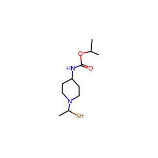 CC(C)OC(=O)NC1CCN(C(C)S)CC1